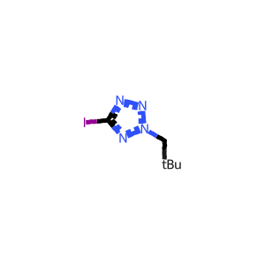 CC(C)(C)Cn1nnc(I)n1